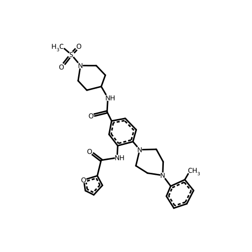 Cc1ccccc1N1CCN(c2ccc(C(=O)NC3CCN(S(C)(=O)=O)CC3)cc2NC(=O)c2ccco2)CC1